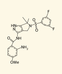 COc1ccc(C(=O)Nc2n[nH]c3c2CN(S(=O)(=O)c2cc(F)cc(F)c2)C3(C)C)c(N)c1